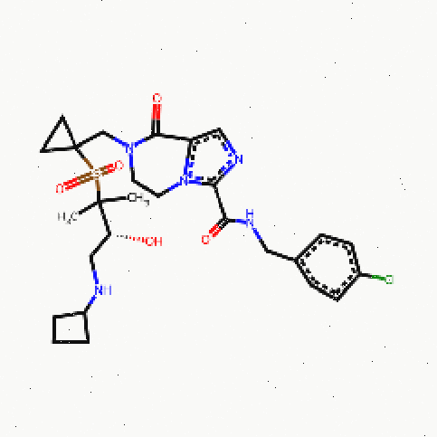 CC(C)([C@H](O)CNC1CCC1)S(=O)(=O)C1(CN2CCn3c(cnc3C(=O)NCc3ccc(Cl)cc3)C2=O)CC1